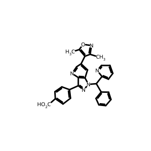 Cc1noc(C)c1-c1cnc2c(-c3ccc(C(=O)O)cc3)nn(C(c3ccccc3)c3ccccn3)c2c1